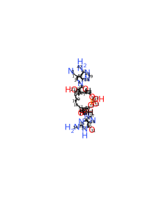 N#Cc1cn([C@@H]2O[C@@H]3COP(=O)(O)O[C@@H]4[C@H](O)C(CCC[C@H]3[C@H]2O)O[C@H]4n2cnc3c(=O)[nH]c(N)nc32)c2ncnc(N)c12